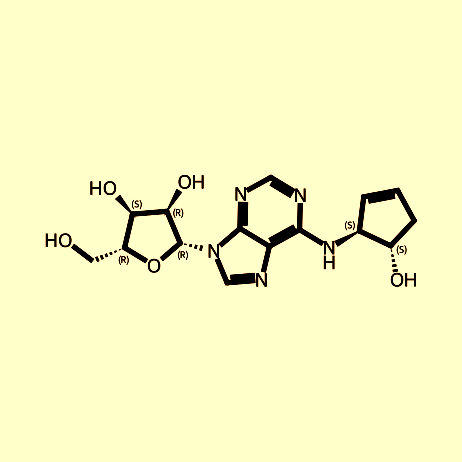 OC[C@H]1O[C@@H](n2cnc3c(N[C@H]4C=CC[C@@H]4O)ncnc32)[C@H](O)[C@@H]1O